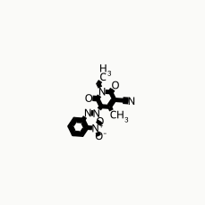 CCN1C(=O)C(C#N)=C(C)C(N=Nc2ccccc2[N+](=O)[O-])C1=O